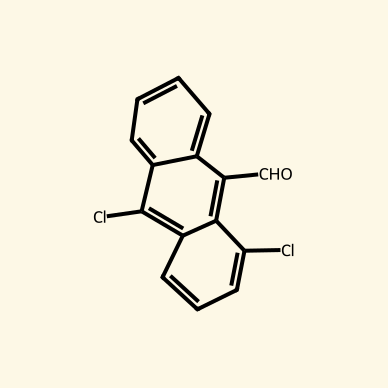 O=Cc1c2ccccc2c(Cl)c2cccc(Cl)c12